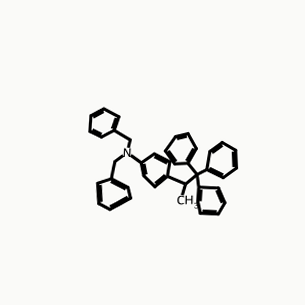 CC(c1ccc(N(Cc2ccccc2)Cc2ccccc2)cc1)C(c1ccccc1)(c1ccccc1)c1ccccc1